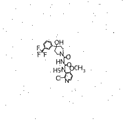 COc1ccnc(Cl)c1N(S)C(=O)NC(=O)N1CCC(O)(c2cccc(C(F)(F)F)c2)CC1